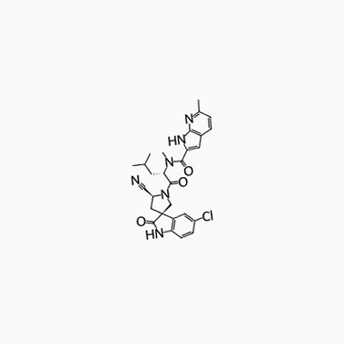 Cc1ccc2cc(C(=O)N(C)[C@@H](CC(C)C)C(=O)N3C[C@]4(C[C@H]3C#N)C(=O)Nc3ccc(Cl)cc34)[nH]c2n1